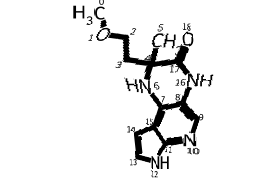 COCCC1(C)Nc2c(cnc3[nH]ccc23)NC1=O